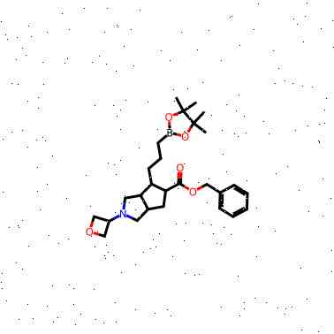 CC1(C)OB(CCCC2C(C(=O)OCc3ccccc3)CC3CN(C4COC4)CC32)OC1(C)C